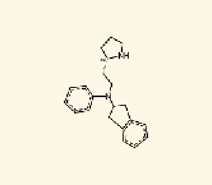 c1ccc(N(CC[C@@H]2CCCN2)C2Cc3ccccc3C2)cc1